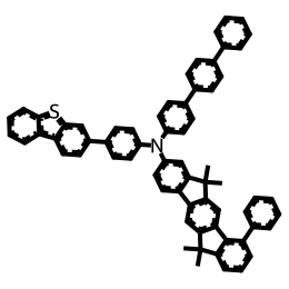 CC1(C)c2cc(N(c3ccc(-c4ccc(-c5ccccc5)cc4)cc3)c3ccc(-c4ccc5c(c4)sc4ccccc45)cc3)ccc2-c2cc3c(cc21)-c1c(-c2ccccc2)cccc1C3(C)C